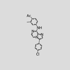 CC(=O)c1ccc(Nc2nccn3c(-c4ccc(Cl)cc4)cnc23)cc1C